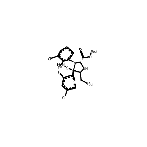 CC(C)(C)C[C@@H]1N[C@@H](C(=O)OC(C)(C)C)[C@H](c2cccc(Cl)c2F)[C@@]1(CN)c1ccc(Cl)cc1F